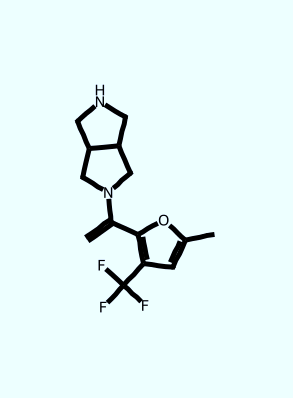 C=C(c1oc(C)cc1C(F)(F)F)N1CC2CNCC2C1